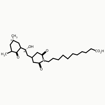 CC1C[C@H](C)CC([C@H](O)CC2CC(=O)N(CCCCCCCCCCC(=O)O)C(=O)C2)C1=O